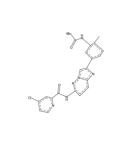 Cc1ccc(-c2cn3nc(NC(=O)c4cc(Cl)ccn4)ccc3n2)cc1NC(=O)C(C)(C)C